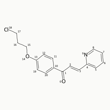 O=C(C=Cc1ccccn1)c1ccc(OCCCCl)cc1